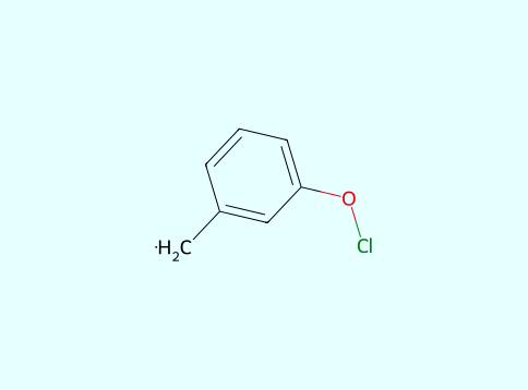 [CH2]c1cccc(OCl)c1